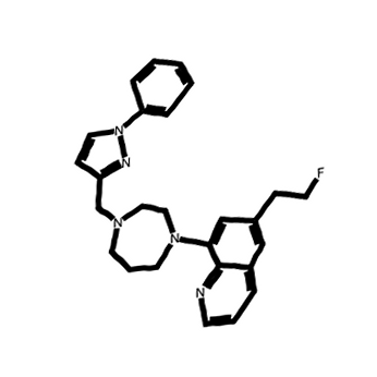 FCCc1cc(N2CCCN(Cc3ccn(-c4ccccc4)n3)CC2)c2ncccc2c1